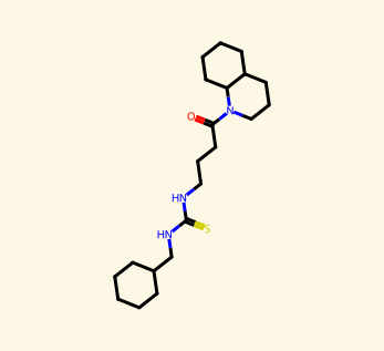 O=C(CCCNC(=S)NCC1CCCCC1)N1CCCC2CCCCC21